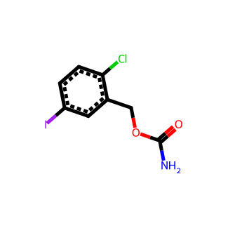 NC(=O)OCc1cc(I)ccc1Cl